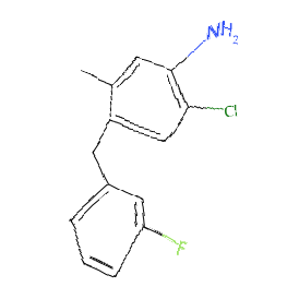 Cc1cc(N)c(Cl)cc1Cc1cccc(F)c1